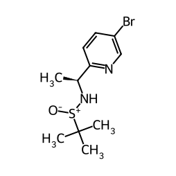 C[C@H](N[S+]([O-])C(C)(C)C)c1ccc(Br)cn1